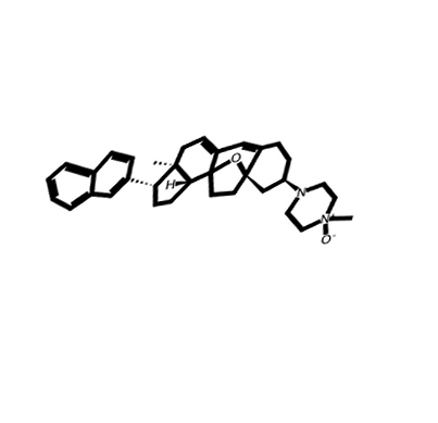 C[C@]12CC=C3C=C4CC[C@@H](N5CC[N+](C)([O-])CC5)C[C@]45CCC3(O5)[C@@H]1CC[C@@H]2c1ccc2ccccc2c1